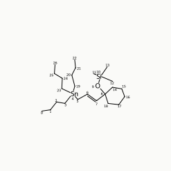 CCC[CH2][Sn]([CH2]C=CC1(O[Si](C)(C)C)CCCCC1)([CH2]CCC)[CH2]CCC